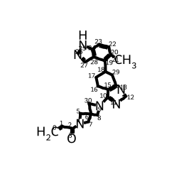 C=CC(=O)N1CC2(C1)CN(c1ncnc3c1CCC(c1c(C)ccc4[nH]ncc14)C3)C2